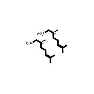 CC(C)=CCC[C@H](C)CC(=O)O.CC(C)=CCC[C@H](C)CC=O